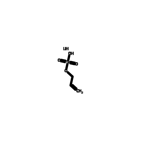 C=CCO[Te](=O)(=O)O.[LiH]